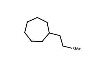 CSCCC1CCCCCC1